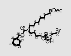 CCCCCCCCCCCCCCCCCCN(CCCCOP(=O)(O)OCCBr)C(=O)OCc1ccccc1